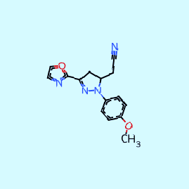 COc1ccc(N2N=C(c3ncco3)CC2CC#N)cc1